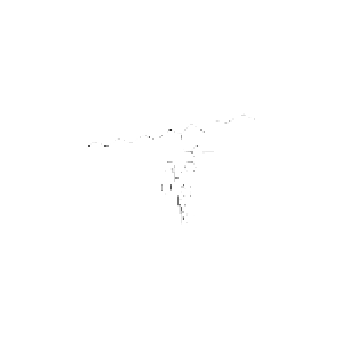 CCCCCCCCC(CO)CCCCCC.O=P([O-])([O-])[O-].[K+].[K+].[K+]